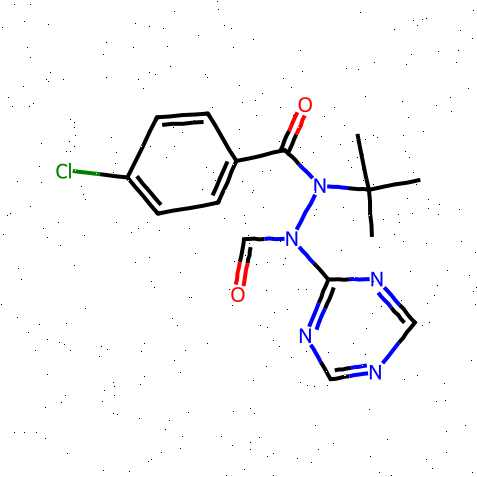 CC(C)(C)N(C(=O)c1ccc(Cl)cc1)N(C=O)c1ncncn1